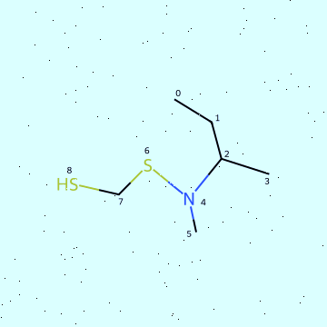 CCC(C)N(C)SCS